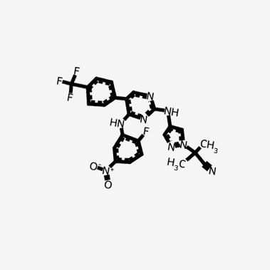 CC(C)(C#N)n1cc(Nc2ncc(-c3ccc(C(F)(F)F)cc3)c(Nc3cc([N+](=O)[O-])ccc3F)n2)cn1